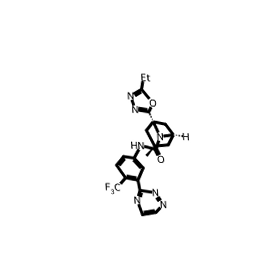 CCc1nnc([C@]23C[C@H](C)C[C@H](C2)N3C(=O)Nc2ccc(C(F)(F)F)c(-c3nccnn3)c2)o1